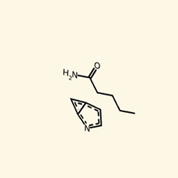 CCCCC(N)=O.c1cc2cc-2n1